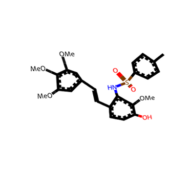 COc1cc(C=Cc2ccc(O)c(OC)c2NS(=O)(=O)c2ccc(C)cc2)cc(OC)c1OC